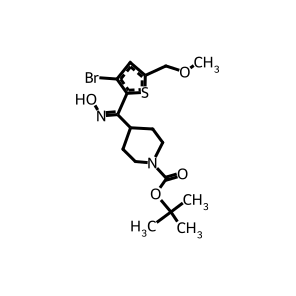 COCc1cc(Br)c(C(=NO)C2CCN(C(=O)OC(C)(C)C)CC2)s1